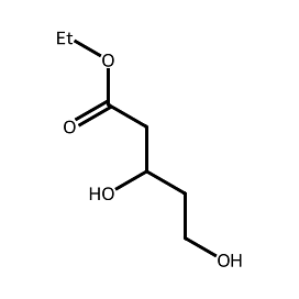 CCOC(=O)CC(O)CCO